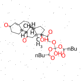 CCCCC(=O)OC(O)(OCC(=O)[C@@]1(O)CC[C@H]2[C@@H]3CCC4=CC(=O)CC[C@]4(C)[C@H]3C(=O)C[C@@]21C)OC(=O)CCCC